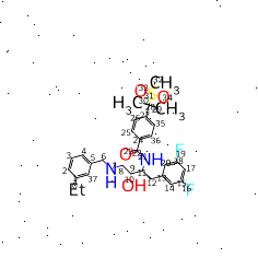 CCc1cccc(CNC[C@@H](O)[C@H](Cc2cc(F)cc(F)c2)NC(=O)c2ccc(C(C)(C)S(C)(=O)=O)cc2)c1